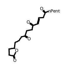 CCCCCC(=O)C/C=C/C(=O)CCC(=O)CCCC1CCC(=O)O1